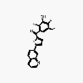 O=C(c1ccc(-c2ccc3cccnc3c2)s1)c1cc(F)c(F)c(O)c1F